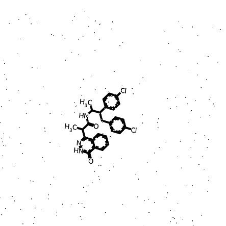 CC(C(=O)NC(C)C(Cc1ccc(Cl)cc1)c1ccc(Cl)cc1)c1n[nH]c(=O)c2ccccc12